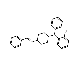 Clc1ccccc1C(c1ccccc1)N1CCC(N=Cc2ccccc2)CC1